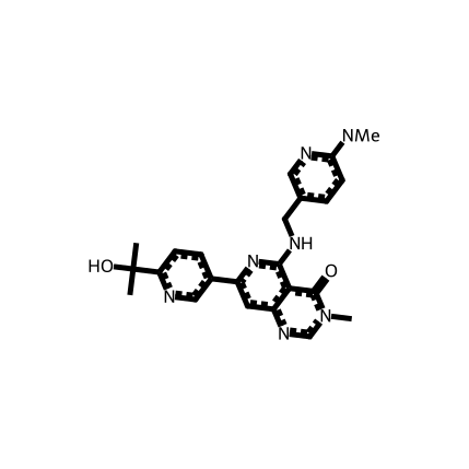 CNc1ccc(CNc2nc(-c3ccc(C(C)(C)O)nc3)cc3ncn(C)c(=O)c23)cn1